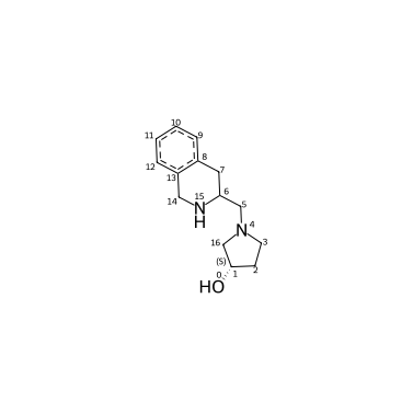 O[C@H]1CCN(CC2Cc3ccccc3CN2)C1